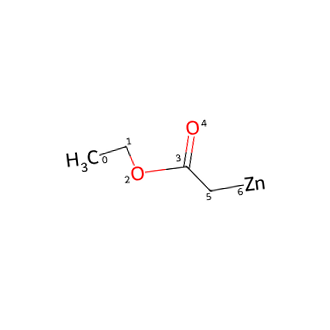 CCOC(=O)[CH2][Zn]